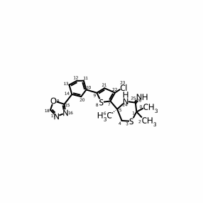 CC1(C)SC[C@@](C)(c2sc(-c3cccc(-c4nnco4)c3)cc2Cl)NC1=N